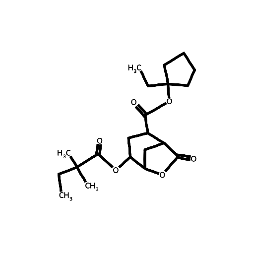 CCC1(OC(=O)C2CC(OC(=O)C(C)(C)CC)C3CC2C(=O)O3)CCCC1